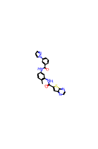 Cc1ccc(NC(=O)c2cccc(-n3cccn3)c2)cc1NC(=O)c1cc2nccnc2s1